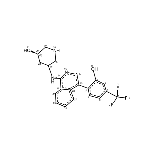 Oc1cc(C(F)(F)F)ccc1-c1nnc(NC2CNC[C@H](O)C2)c2ccccc12